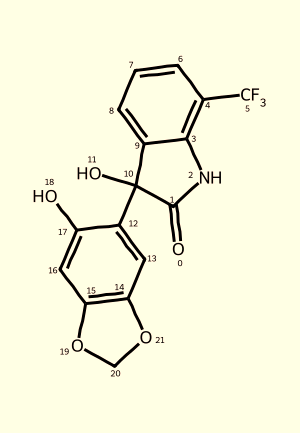 O=C1Nc2c(C(F)(F)F)cccc2C1(O)c1cc2c(cc1O)OCO2